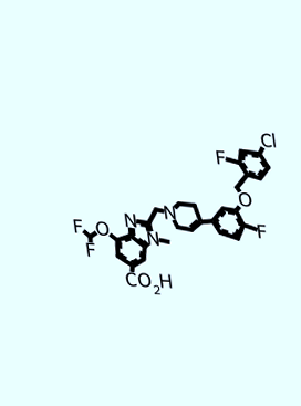 Cn1c(CN2CC=C(c3ccc(F)c(OCc4ccc(Cl)cc4F)c3)CC2)nc2c(OC(F)F)cc(C(=O)O)cc21